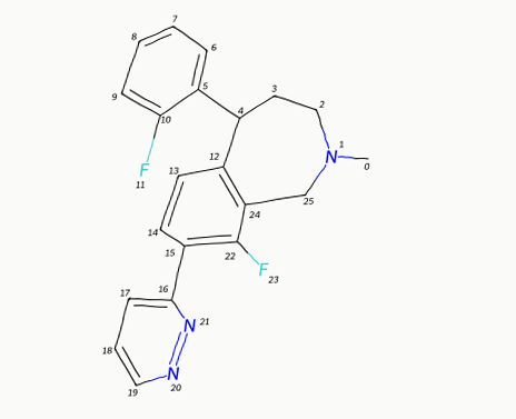 CN1CCC(c2ccccc2F)c2ccc(-c3cccnn3)c(F)c2C1